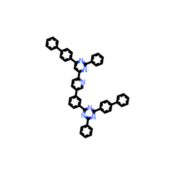 c1ccc(-c2ccc(-c3cc(-c4ccc(-c5cccc(-c6nc(-c7ccccc7)nc(-c7ccc(-c8ccccc8)cc7)n6)c5)cn4)nc(-c4ccccc4)n3)cc2)cc1